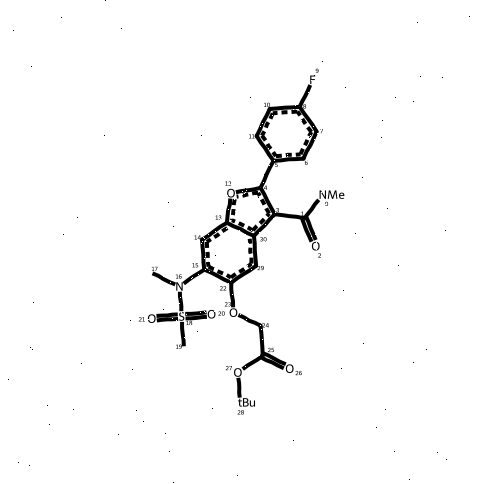 CNC(=O)c1c(-c2ccc(F)cc2)oc2cc(N(C)S(C)(=O)=O)c(OCC(=O)OC(C)(C)C)cc12